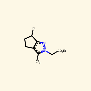 CCOC(=O)Cn1nc2c(c1C(F)(F)F)CCC2CC